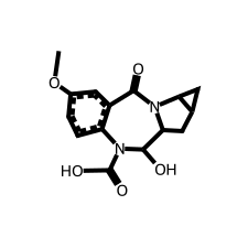 COc1ccc2c(c1)C(=O)N1C3CC3CC1C(O)N2C(=O)O